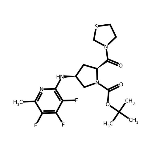 Cc1nc(N[C@H]2C[C@@H](C(=O)N3CCSC3)N(C(=O)OC(C)(C)C)C2)c(F)c(F)c1F